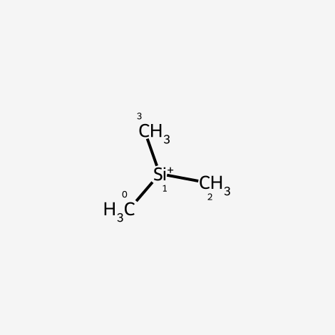 C[Si+](C)C